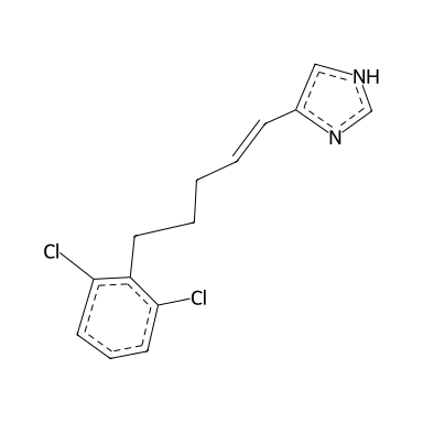 Clc1cccc(Cl)c1CCCC=Cc1c[nH]cn1